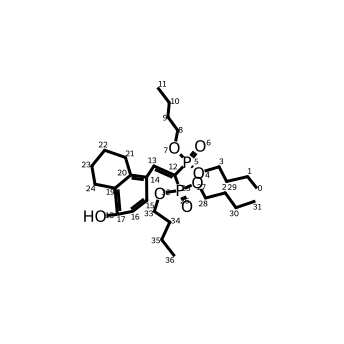 CCCCOP(=O)(OCCCC)C(=Cc1ccc(O)c2c1CCCC2)P(=O)(OCCCC)OCCCC